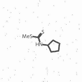 [CH2]SC(=S)NC1CCCC1